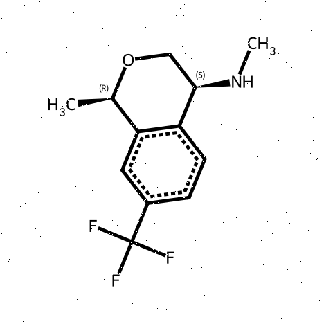 CN[C@@H]1CO[C@H](C)c2cc(C(F)(F)F)ccc21